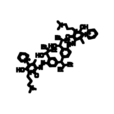 CCC(CC)C(O)c1cc(C(c2ccc(/N=N/c3c(C)c(-[n+]4ccccc4)c(O)n(CCCN(C)C)c3=O)c(C(O)C(CC)CC)c2)C(CC)CC)ccc1/N=N/c1c(C)c(-[n+]2ccccc2)c(O)n(CCCN(C)C)c1=O